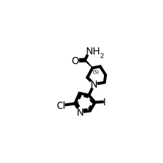 NC(=O)[C@H]1CCCN(c2cc(Cl)ncc2I)C1